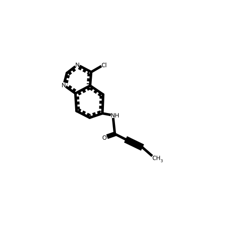 CC#CC(=O)Nc1ccc2ncnc(Cl)c2c1